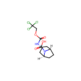 O=C(N[C@@H]1C[C@H]2CC[C@@H](C1)N2C(=O)O)OCC(Cl)(Cl)Cl